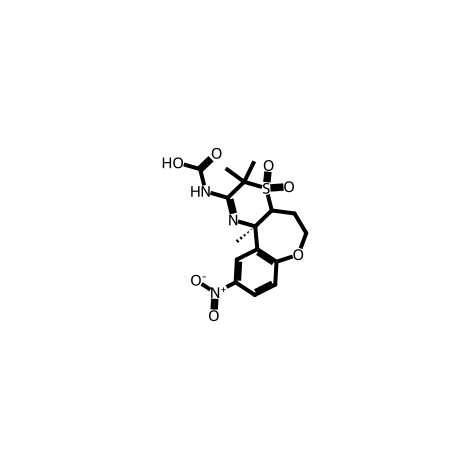 CC1(C)C(NC(=O)O)=N[C@]2(C)c3cc([N+](=O)[O-])ccc3OCCC2S1(=O)=O